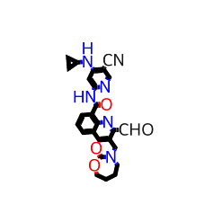 N#Cc1cnc(NC(=O)c2cccc3cc(CN4CCCCOC4=O)c(C=O)nc23)cc1NC1CC1